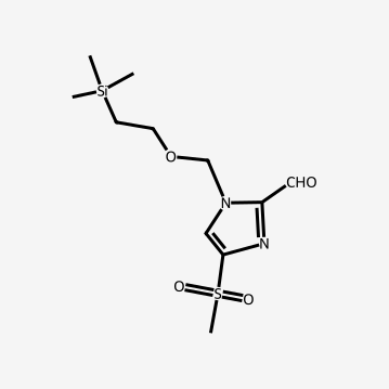 C[Si](C)(C)CCOCn1cc(S(C)(=O)=O)nc1C=O